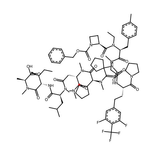 CC[C@H](C)[C@H](NC(=O)[C@H](CC(C)C)N(C)C(=O)C[C@@H](C(=O)N(C)C)N(C)C(=O)[C@H](C1CCCC1)N(C)C(=O)C1(NC(=O)[C@@H]2CCCN2C(=O)[C@H](CCc2cc(F)c(C(F)(F)F)c(F)c2)NC(=O)CN(C)C(=O)[C@H](Cc2ccc(C)cc2)N(CC)C(=O)[C@@H]2CCN2C(=O)OCc2ccccc2)CCCC1)C(=O)N(C)[C@@H](C)C(=O)O